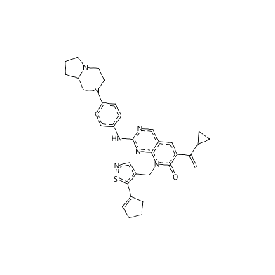 C=C(c1cc2cnc(Nc3ccc(N4CCN5CCCC5C4)cc3)nc2n(Cc2cnsc2C2=CCCC2)c1=O)C1CC1